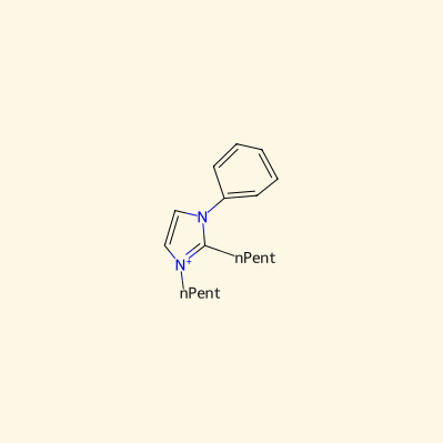 CCCCCc1n(-c2ccccc2)cc[n+]1CCCCC